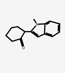 Cn1c(C2CCCCC2=O)cc2ccccc21